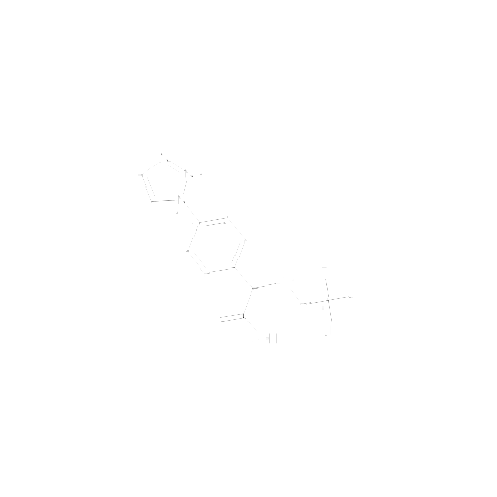 O=C(O)C(OCC(F)(F)F)c1ccc(-n2ccnn2)cc1